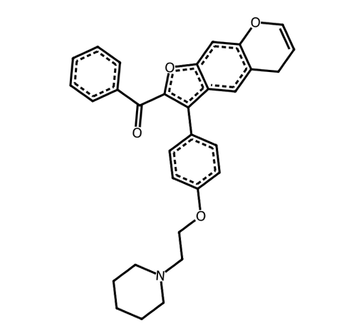 O=C(c1ccccc1)c1oc2cc3c(cc2c1-c1ccc(OCCN2CCCCC2)cc1)CC=CO3